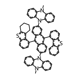 CN1c2ccccc2N(c2ccc3c(-c4cccc5sc6ccccc6c45)c4cc(N5c6ccccc6N(C)c6ccccc65)ccc4c(-c4cccc5sc6c(c45)CCCC6)c3c2)c2ccccc21